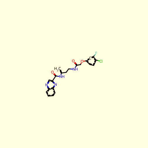 C=C(CCNC(=O)COc1ccc(Cl)c(F)c1)NC(=O)c1cnc2ccccc2n1